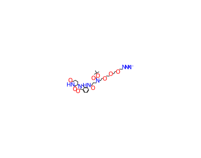 CC(C)(C)OC(=O)N(CCOCCOCCOCCN=[N+]=[N-])CCC(=O)Nc1cccc2c1CN(C1CCC(=O)NC1=O)C2=O